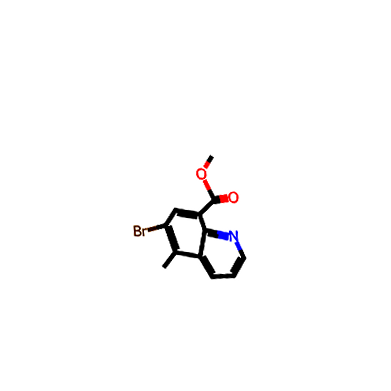 COC(=O)c1cc(Br)c(C)c2cccnc12